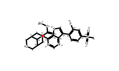 CC(C)OC(=O)N1CC2COCC(C1)C2Oc1ncnc2c(-c3ccc(S(C)(=O)=O)cc3F)csc12